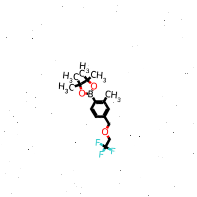 Cc1cc(COCC(F)(F)F)ccc1B1OC(C)(C)C(C)(C)O1